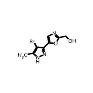 Cc1[nH]nc(-c2cnc(CO)o2)c1Br